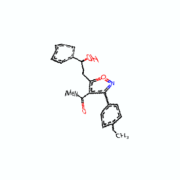 CNC(=O)c1c(-c2ccc(C)cc2)noc1CC(O)c1ccccc1